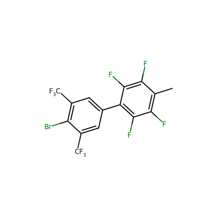 Cc1c(F)c(F)c(-c2cc(C(F)(F)F)c(Br)c(C(F)(F)F)c2)c(F)c1F